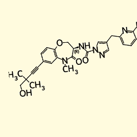 CN1C(=O)[C@H](NC(=O)n2cc(Cc3cccc(F)n3)cn2)COc2ccc(C#CC(C)(C)CO)cc21